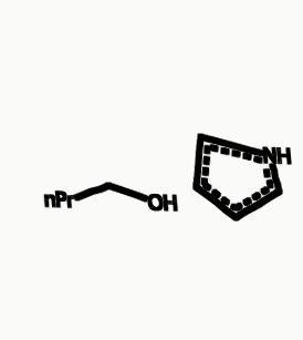 CCCCO.c1cc[nH]c1